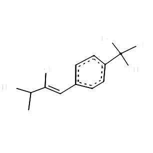 C/C(=C\c1ccc(C(C)(C)C)cc1)C(C)Br